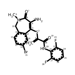 C=C(SC1=C(N)C(=O)N(C)Cc2ccc(Br)cc21)C(=O)Nc1c(F)cccc1F